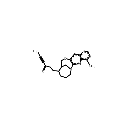 CC#CC(=O)CCC1CCCN2CC1COc1cc3ncnc(C)c3nc12